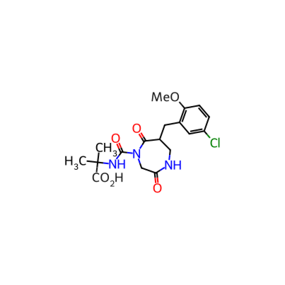 COc1ccc(Cl)cc1CC1CNC(=O)CN(C(=O)NC(C)(C)C(=O)O)C1=O